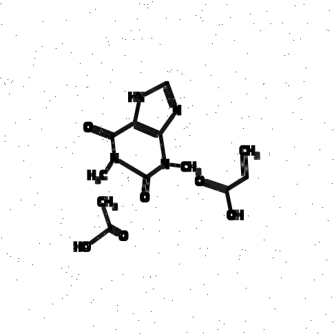 C=CC(=O)O.CC(=O)O.Cn1c(=O)c2[nH]cnc2n(C)c1=O